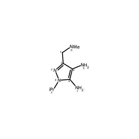 CNCc1nn(C(C)C)c(N)c1N